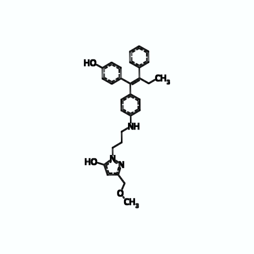 CCC(=C(c1ccc(O)cc1)c1ccc(NCCCn2nc(COC)cc2O)cc1)c1ccccc1